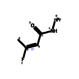 CCCNC(=O)/C=C(\C)F